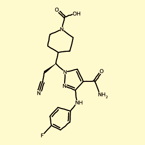 N#CC[C@@H](C1CCN(C(=O)O)CC1)n1cc(C(N)=O)c(Nc2ccc(F)cc2)n1